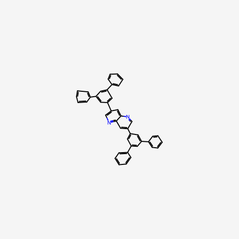 c1ccc(-c2cc(-c3ccccc3)cc(-c3cnc4cc(-c5cc(-c6ccccc6)cc(-c6ccccc6)c5)cnc4c3)c2)cc1